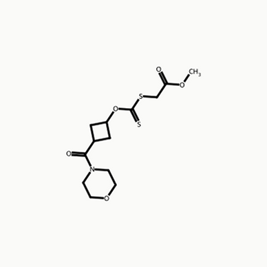 COC(=O)CSC(=S)OC1CC(C(=O)N2CCOCC2)C1